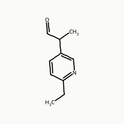 CCc1ccc(C(C)C=O)cn1